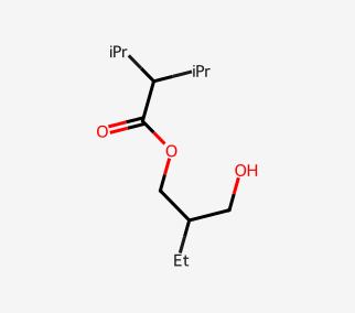 CCC(CO)COC(=O)C(C(C)C)C(C)C